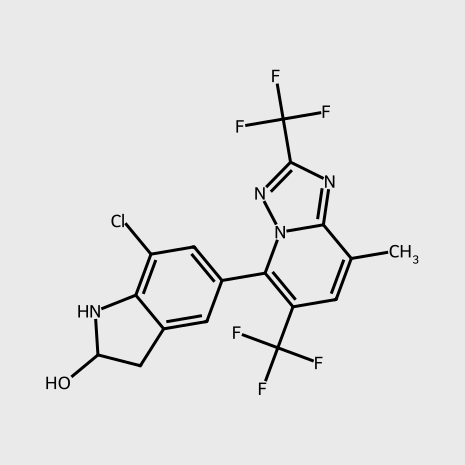 Cc1cc(C(F)(F)F)c(-c2cc(Cl)c3c(c2)CC(O)N3)n2nc(C(F)(F)F)nc12